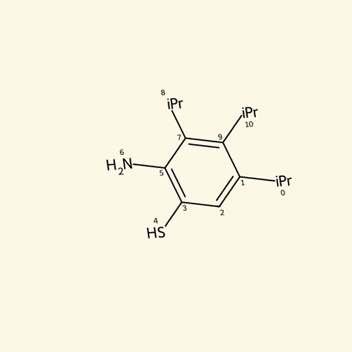 CC(C)c1cc(S)c(N)c(C(C)C)c1C(C)C